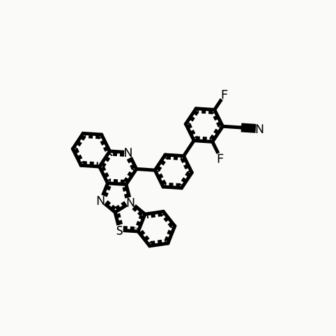 N#Cc1c(F)ccc(-c2cccc(-c3nc4ccccc4c4nc5sc6ccccc6n5c34)c2)c1F